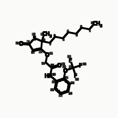 CCCCCCCCC1(C)SC(=O)C=C1OCC(=O)Nc1ccccc1OC(F)(F)F